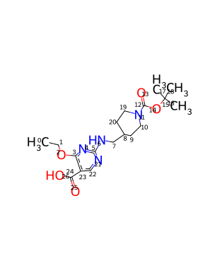 CCOc1nc(NCC2CCN(C(=O)OC(C)(C)C)CC2)ncc1C(=O)O